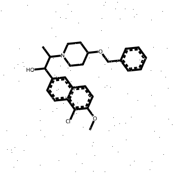 COc1ccc2cc(C(O)C(C)N3CCC(OCc4ccccc4)CC3)ccc2c1Cl